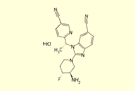 C[C@H](c1ccc(C#N)cn1)n1c(N2CC[C@@H](F)[C@H](N)C2)nc2ccc(C#N)cc21.Cl